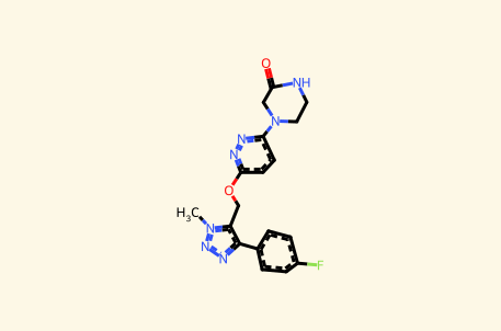 Cn1nnc(-c2ccc(F)cc2)c1COc1ccc(N2CCNC(=O)C2)nn1